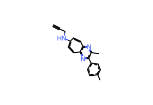 C#CCNC1=C=Cc2nc(-c3ccc(C)cc3)c(C)nc2C=C1